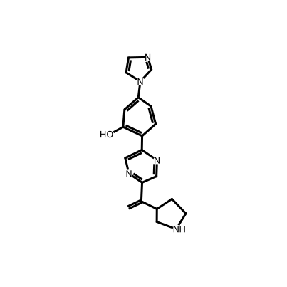 C=C(c1cnc(-c2ccc(-n3ccnc3)cc2O)cn1)C1CCNC1